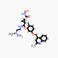 CN(C)CCNC(=O)[C@@]1(Cc2ccc(OCc3cc(C(F)(F)F)nc4ccccc34)cc2)C[C@@H]1C(=O)NO